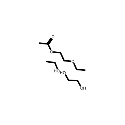 CCO.CCOCCOC(C)=O.OCCO